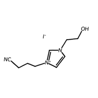 N#CCCC[n+]1ccn(CCO)c1.[I-]